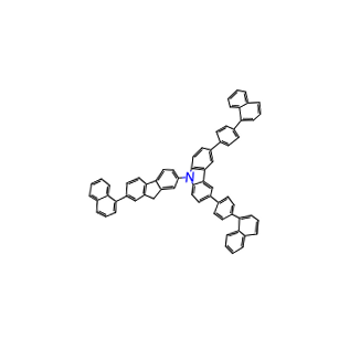 c1ccc2c(-c3ccc(-c4ccc5c(c4)c4cc(-c6ccc(-c7cccc8ccccc78)cc6)ccc4n5-c4ccc5c(c4)Cc4cc(-c6cccc7ccccc67)ccc4-5)cc3)cccc2c1